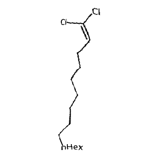 C[CH]CCCCCCCCCCCC=C(Cl)Cl